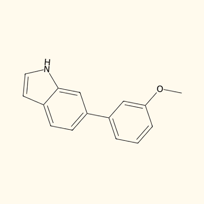 COc1cccc(-c2ccc3cc[nH]c3c2)c1